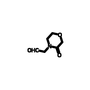 O=CCN1CCOCC1=O